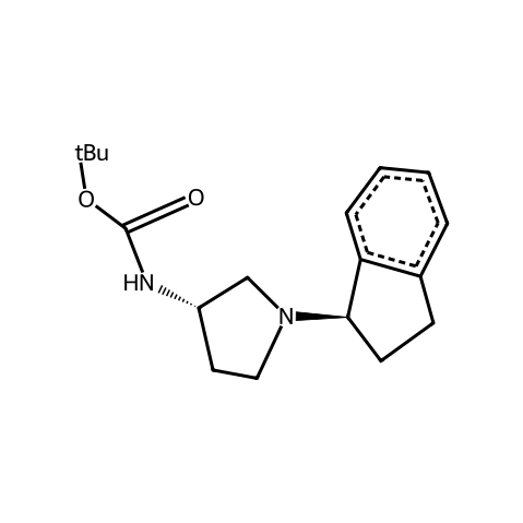 CC(C)(C)OC(=O)N[C@H]1CCN([C@@H]2CCc3ccccc32)C1